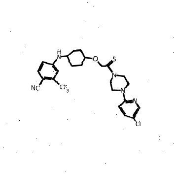 N#Cc1ccc(NC2CCC(OCC(=S)N3CCN(c4ccc(Cl)cn4)CC3)CC2)cc1C(F)(F)F